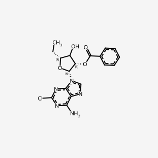 CC[C@H]1O[C@@H](n2cnc3c(N)nc(Cl)nc32)[C@@H](OC(=O)c2ccccc2)C1O